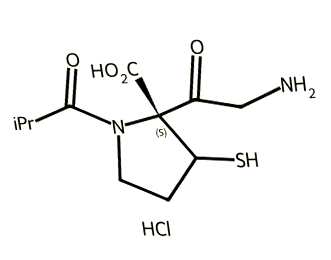 CC(C)C(=O)N1CCC(S)[C@@]1(C(=O)O)C(=O)CN.Cl